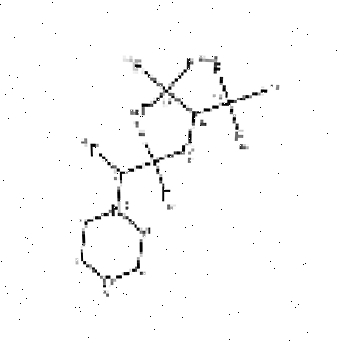 FC(N1CCOCC1)C(F)(F)OC(C(F)(F)F)C(F)(F)F